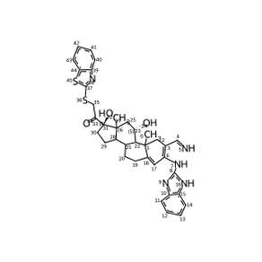 CC12CC(C=N)=C(Nc3nc4ccccc4[nH]3)C=C1CCC1C2[C@@H](O)CC2(C)C1CC[C@]2(O)C(=O)CSc1nc2ccccc2s1